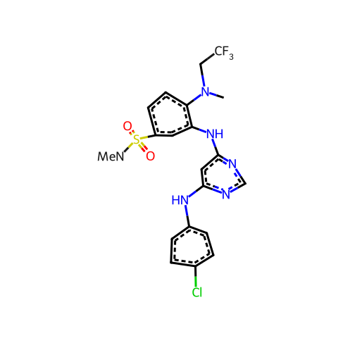 CNS(=O)(=O)c1ccc(N(C)CC(F)(F)F)c(Nc2cc(Nc3ccc(Cl)cc3)ncn2)c1